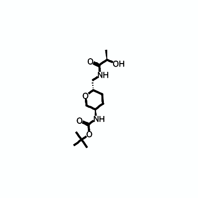 C[C@@H](O)C(=O)NC[C@@H]1CC[C@@H](NC(=O)OC(C)(C)C)CO1